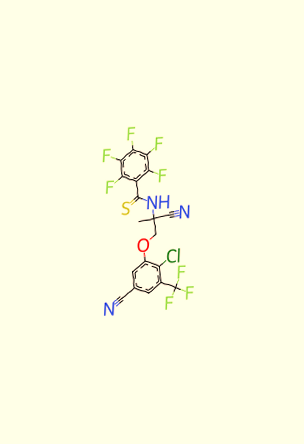 CC(C#N)(COc1cc(C#N)cc(C(F)(F)F)c1Cl)NC(=S)c1c(F)c(F)c(F)c(F)c1F